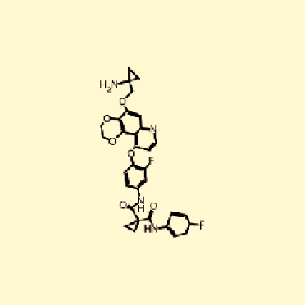 NC1(COc2cc3nccc(Oc4ccc(NC(=O)C5(C(=O)NC6=CCC(F)C=C6)CC5)cc4F)c3c3c2OCCO3)CC1